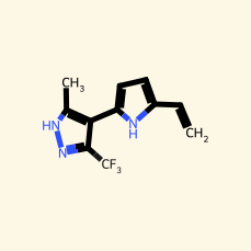 C=Cc1ccc(-c2c(C(F)(F)F)n[nH]c2C)[nH]1